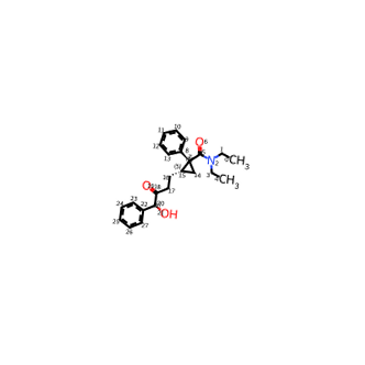 CCN(CC)C(=O)[C@]1(c2ccccc2)C[C@@H]1CCC(=O)[C@@H](O)c1ccccc1